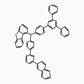 c1ccc(-c2cc(-c3ccccc3)cc(-c3ccc(N(c4ccc(-c5cccc(-c6ccc7ccccc7c6)c5)cc4)c4cccc5oc6ccccc6c45)cc3)c2)cc1